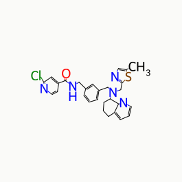 Cc1cnc(CN(Cc2cccc(CNC(=O)c3ccnc(Cl)c3)c2)C2CCCc3cccnc32)s1